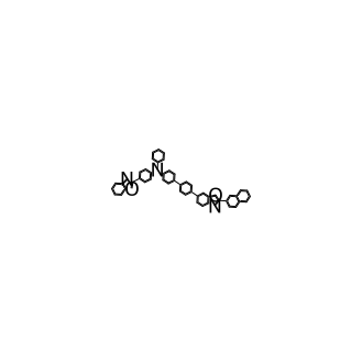 c1ccc(N(c2ccc(-c3ccc(-c4ccc5nc(-c6ccc7ccccc7c6)oc5c4)cc3)cc2)c2ccc(-c3nc4ccccc4o3)cc2)cc1